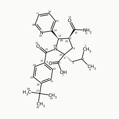 CC(C)C[C@@]1(C(=O)O)C[C@H](C(N)=O)[C@H](c2ccccn2)N1C(=O)c1ccc(C(C)(C)C)cc1